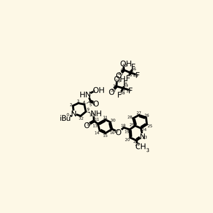 CCC(C)N1CC[C@H](C(=O)NO)[C@H](NC(=O)c2ccc(OCc3cc(C)nc4ccccc34)cc2)C1.O=C(O)C(F)(F)F.O=C(O)C(F)(F)F